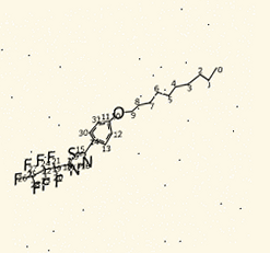 CCCCCCCCCCOc1ccc(-c2nnc(C(F)(F)C(F)(F)C(F)(F)F)s2)cc1